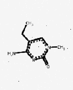 CCc1cn(C)c(=O)nc1N